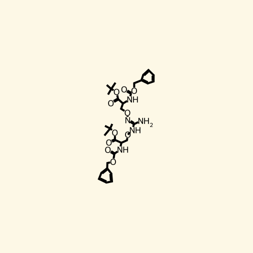 CC(C)(C)OC(=O)C(CON=C(N)NOCC(NC(=O)OCc1ccccc1)C(=O)OC(C)(C)C)NC(=O)OCc1ccccc1